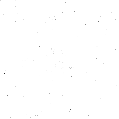 CCCCCCCCCCCCCCCC(=O)OC(=O)C(C(=O)OC(=O)CCCCCCCCCCCCCCC)c1cc(OC)c(O)c(OC)c1